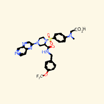 CN(CC(=O)O)c1ccc(S(=O)(=O)N2CCN(c3cnc4cnccc4n3)CC2C(=O)NCc2ccc(OC(F)(F)F)cc2)cc1